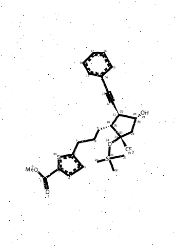 COC(=O)c1ccc(CCC[C@@H]2[C@@H](C#Cc3ccccc3)[C@H](O)C[C@@]2(O[Si](C)(C)C)C(F)(F)F)s1